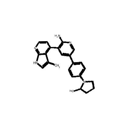 Cc1c[nH]c2nccc(-c3cc(-c4ccc(N5CCCC5O)cc4)cnc3N)c12